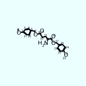 COc1ccc(COC(=O)CCC(N)C(=O)OCc2ccc(OC)cc2)cc1